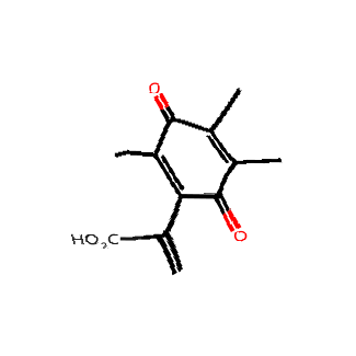 C=C(C(=O)O)C1=C(C)C(=O)C(C)=C(C)C1=O